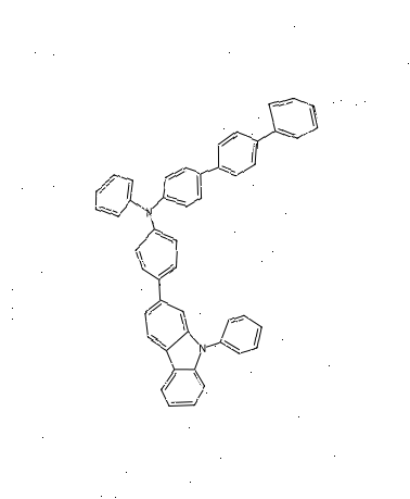 c1ccc(-c2ccc(-c3ccc(N(c4ccccc4)c4ccc(-c5ccc6c7ccccc7n(-c7ccccc7)c6c5)cc4)cc3)cc2)cc1